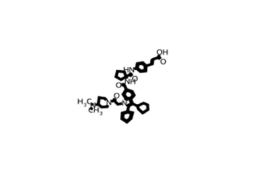 CN(C)C1CCN(C(=O)Cn2c(-c3ccccc3)c(C3CCCCC3)c3ccc(C(=O)NC4(C(=O)Nc5ccc(C=CC(=O)O)cc5)CCCC4)cc32)CC1